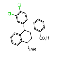 CN[C@H]1CC[C@@H](c2ccc(Cl)c(Cl)c2)c2ccccc21.O=C(O)c1ccccc1